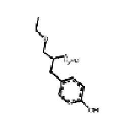 CCOCC(N)Cc1ccc(O)cc1.Cl